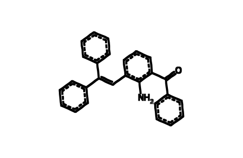 Nc1c(C=C(c2ccccc2)c2ccccc2)cccc1C(=O)c1ccccc1